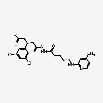 Cc1ccnc(NCCCCC(=O)NNC(=O)CC(CC(=O)O)c2cc(Cl)cc(Cl)c2)c1